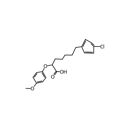 COc1ccc(OC(CCCCCc2ccc(Cl)cc2)C(=O)O)cc1